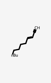 C#CC=CCCCCCCCC